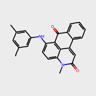 Cc1cc(C)cc(Nc2ccc3c4c(cc(=O)n3C)-c3ccccc3C(=O)c24)c1